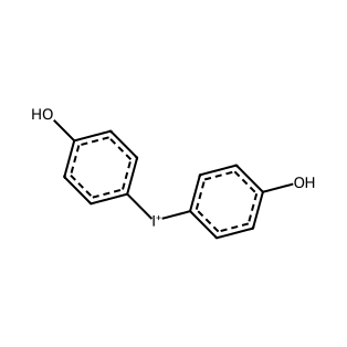 Oc1ccc([I+]c2ccc(O)cc2)cc1